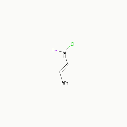 CCCC=C[SiH](Cl)I